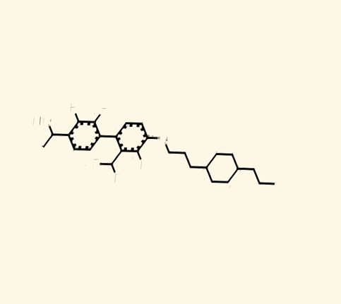 CCCC1CCC(CCCOc2ccc(-c3ccc(C(C)O)c(F)c3F)c(C(F)F)c2F)CC1